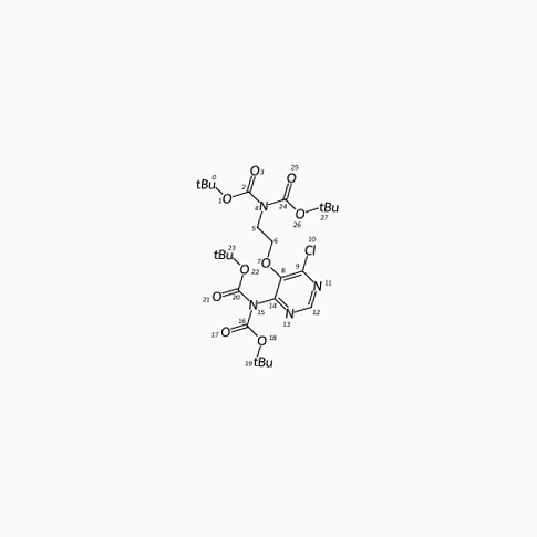 CC(C)(C)OC(=O)N(CCOc1c(Cl)ncnc1N(C(=O)OC(C)(C)C)C(=O)OC(C)(C)C)C(=O)OC(C)(C)C